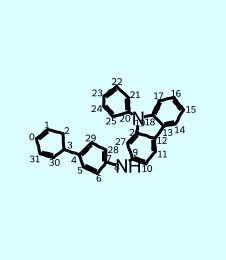 C1=CCC(c2ccc(Nc3ccc4c5ccccc5n(-c5ccccc5)c4c3)cc2)C=C1